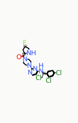 C[C@@H](Nc1nc(N2CCN(C(=O)[C@H]3C[C@H](F)CN3)CC2)ncc1Cl)c1ccc(Cl)cc1Cl